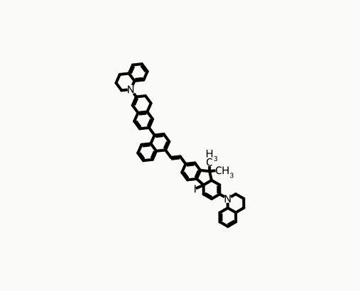 CC1(C)c2cc(/C=C/c3ccc(-c4ccc5c(c4)CCC(N4CCCc6ccccc64)=C5)c4ccccc34)ccc2C2(I)C=CC(N3CCCC4C=CC=CC43)=CC12